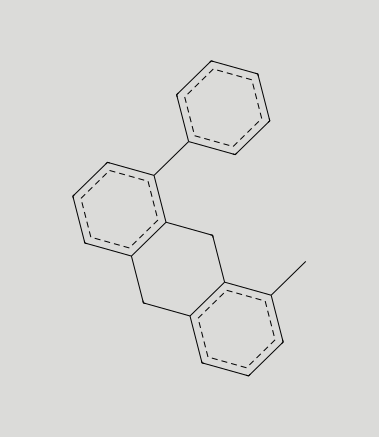 Cc1cccc2c1Cc1c(cccc1-c1ccccc1)C2